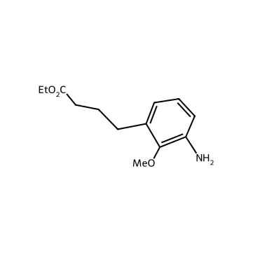 CCOC(=O)CCCc1cccc(N)c1OC